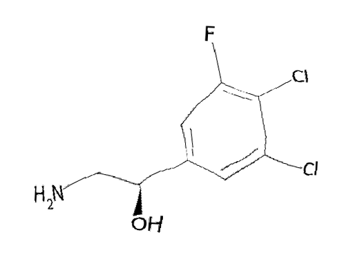 NC[C@H](O)c1cc(F)c(Cl)c(Cl)c1